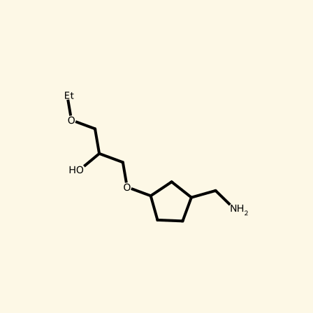 CCOCC(O)COC1CCC(CN)C1